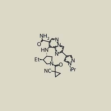 CC[C@@H]1CN(C(=O)C2(C#N)CC2)C[C@H]1Nc1c(C(N)=O)cnn2cc(-c3cnn(C(C)C)c3)nc12